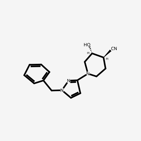 N#C[C@H]1CCN(c2ccn(Cc3ccccc3)n2)C[C@@H]1O